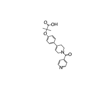 CC(C)(Oc1ccc(C2=CCN(C(=O)c3ccncc3)CC2)cc1)C(=O)O